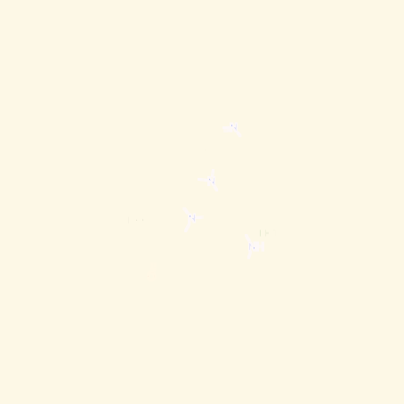 Cl.O=C=C(C(=O)O)C(CC1CCNCC1)N1CCN(c2ccncc2)CC1